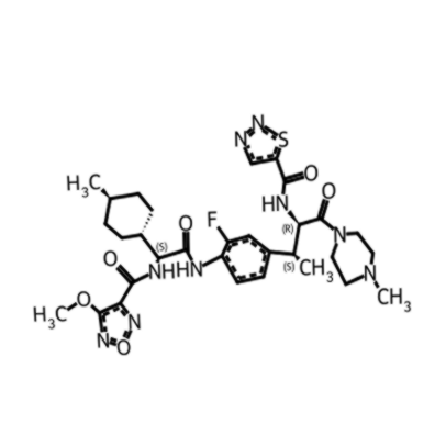 COc1nonc1C(=O)N[C@H](C(=O)Nc1ccc([C@H](C)[C@@H](NC(=O)c2cnns2)C(=O)N2CCN(C)CC2)cc1F)[C@H]1CC[C@H](C)CC1